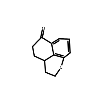 O=C1CCC2CCCc3cccc1c32